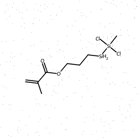 C=C(C)C(=O)OCCC[SiH2][Si](C)(Cl)Cl